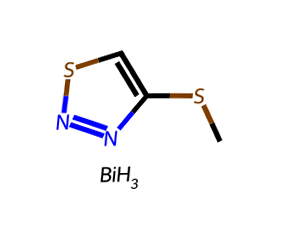 CSc1csnn1.[BiH3]